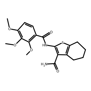 COc1ccc(C(=O)Nc2sc3c(c2C(N)=O)CCCC3)c(OC)c1OC